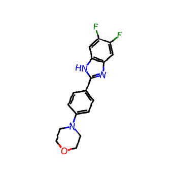 Fc1cc2nc(-c3ccc(N4CCOCC4)cc3)[nH]c2cc1F